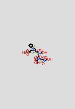 C/C(C=C1Sc2ccccc2N1CCCS(=O)(=O)O)=c1\s/c(=c2/o/c(=C3/SC(=O)N(CC(=O)O)C3=O)n(CC(=O)O)c2=O)n(CC(=O)O)c1=O